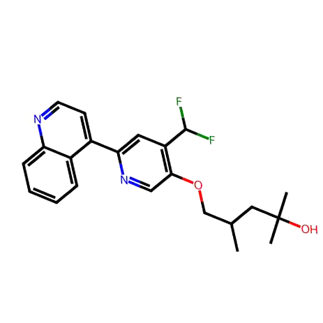 CC(COc1cnc(-c2ccnc3ccccc23)cc1C(F)F)CC(C)(C)O